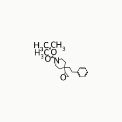 CC(C)(C)OC(=O)N1CCC(CCc2ccccc2)(C2CO2)CC1